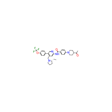 CC[C@@H]1CCCN1Cc1cc(NC(=O)c2ccc(N3CCC(C(C)=O)CC3)cc2)ncc1-c1ccc(OC(F)(F)F)cc1